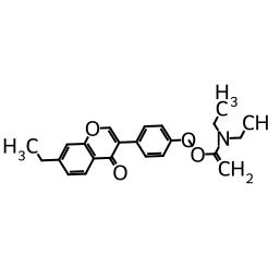 C=C(OOc1ccc(-c2coc3cc(CC)ccc3c2=O)cc1)N(CC)CC